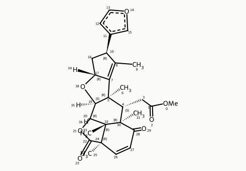 COC(=O)C[C@H]1[C@]2(C)C3=C(C)[C@H](c4ccoc4)C[C@H]3O[C@@H]2[C@@H]2OC(=O)[C@]3(C)C=CC(=O)[C@@]1(C)[C@@]23C